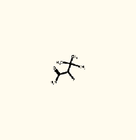 CC(C)(C)C(F)C(N)=O